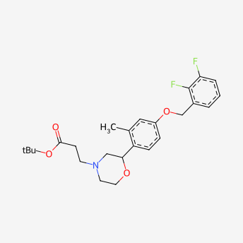 Cc1cc(OCc2cccc(F)c2F)ccc1C1CN(CCC(=O)OC(C)(C)C)CCO1